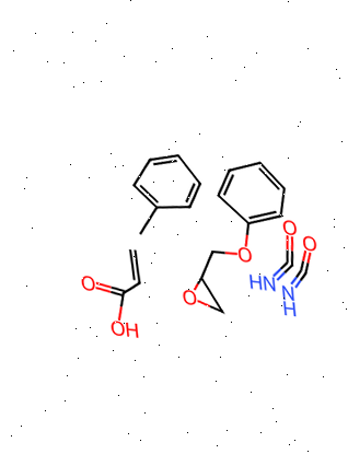 C=CC(=O)O.Cc1ccccc1.N=C=O.N=C=O.c1ccc(OCC2CO2)cc1